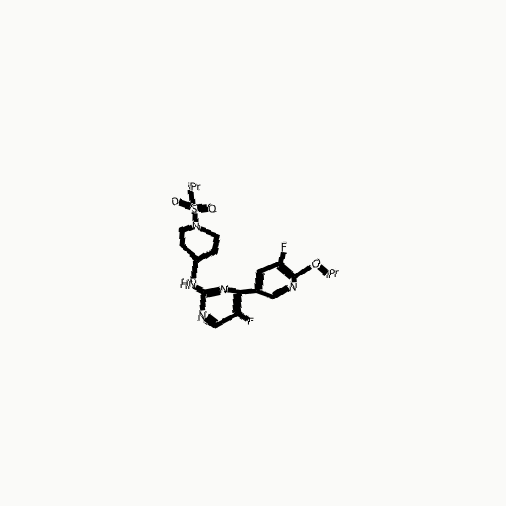 CC(C)Oc1ncc(-c2nc(NC3CCN(S(=O)(=O)C(C)C)CC3)ncc2F)cc1F